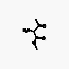 COC(=O)C(N)C(C)=O